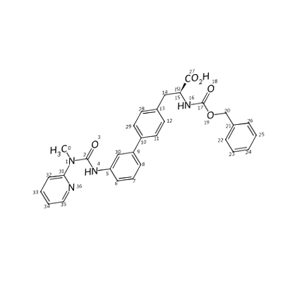 CN(C(=O)Nc1cccc(-c2ccc(C[C@H](NC(=O)OCc3ccccc3)C(=O)O)cc2)c1)c1ccccn1